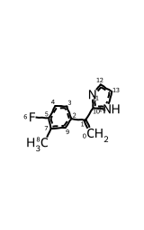 C=C(c1ccc(F)c(C)c1)c1ncc[nH]1